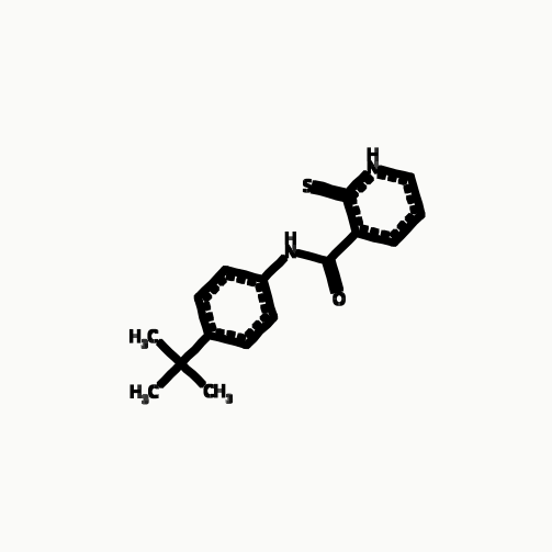 CC(C)(C)c1ccc(NC(=O)c2ccc[nH]c2=S)cc1